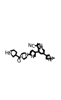 Cn1cc(-c2cc(-c3ccc(N4CCN(C(=O)C5CCCNC5)CC4)nc3)c3c(C#N)cnn3c2)cn1